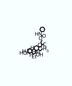 CC[C@H]1[C@@H](O)[C@@H]2[C@H](CC[C@]3(C)[C@@H]([C@H](C)CCOC(=O)NC4CCCCC4)CC[C@@H]23)[C@@]2(C)CC[C@@H](O)C[C@@H]12